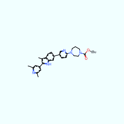 Cc1cc(-c2[nH]c3cc(-c4ccc(N5CCCN(C(=O)OC(C)(C)C)CC5)nc4)ccc3c2C)cc(C)n1